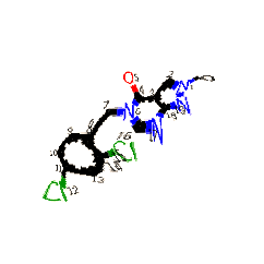 Cn1cc2c(=O)n(Cc3ccc(Cl)cc3Cl)cnc2n1